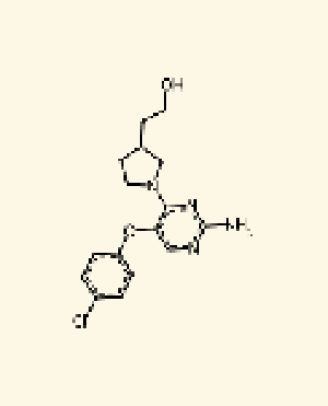 Nc1ncc(Oc2ccc(Cl)cc2)c(N2CCC(CCO)C2)n1